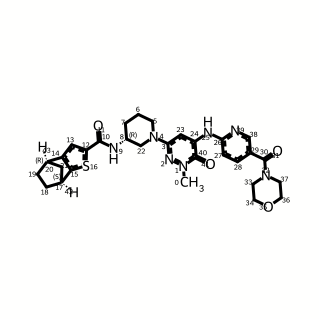 Cn1nc(N2CCC[C@@H](NC(=O)c3cc4c(s3)[C@H]3CC[C@@H]4C3)C2)cc(Nc2ccc(C(=O)N3CCOCC3)cn2)c1=O